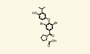 CC(C)c1cc(Oc2c(Br)cc(C(=O)N3CCC[C@H]3C(=O)O)cc2Br)ccc1O